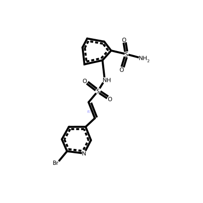 NS(=O)(=O)c1ccccc1NS(=O)(=O)/C=C/c1ccc(Br)nc1